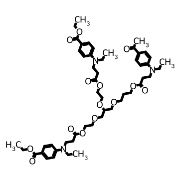 CCOC(=O)c1ccc(N(CC)CCC(=O)OCCOCC(COCCCOC(=O)CCN(CC)c2ccc(C(C)=O)cc2)OCCOC(=O)CCN(CC)c2ccc(C(=O)OCC)cc2)cc1